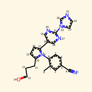 Cc1cc(C#N)ccc1-n1c(CCC=O)ccc1-c1cnc(-n2ccnc2)nc1